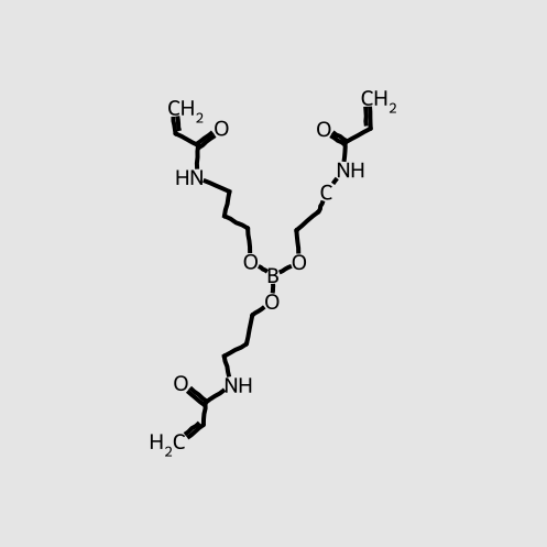 C=CC(=O)NCCCOB(OCCCNC(=O)C=C)OCCCNC(=O)C=C